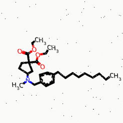 CCCCCCCCCc1ccc(CN(C)C2CCC(C(=O)OCC)(C(=O)OCC)C2)cc1